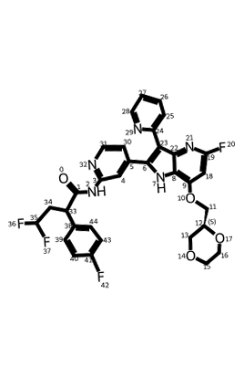 O=C(Nc1cc(-c2[nH]c3c(OC[C@@H]4COCCO4)cc(F)nc3c2-c2ccccn2)ccn1)C(CC(F)F)c1ccc(F)cc1